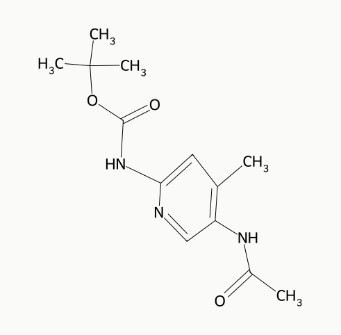 CC(=O)Nc1cnc(NC(=O)OC(C)(C)C)cc1C